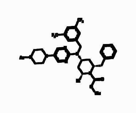 CC[C@@H]1C[C@H](N(Cc2cc(C(F)(F)F)cc(C(F)(F)F)c2)c2ncc(N3CCN(C(C)=O)CC3)cn2)C[C@H](Cc2ccccc2)N1C(=O)OC(C)(C)C